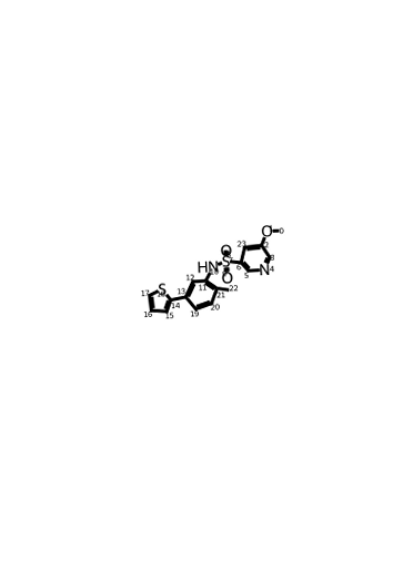 COc1cncc(S(=O)(=O)Nc2cc(-c3cccs3)ccc2C)c1